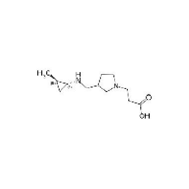 C[C@@H]1C[C@H]1NCC1CCN(CCC(=O)O)C1